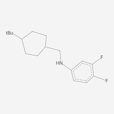 CC(C)(C)C1CCC(CNc2ccc(F)c(F)c2)CC1